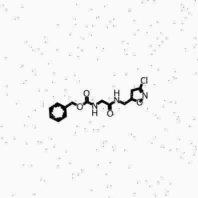 O=C(CNC(=O)OCc1ccccc1)NCC1CC(Cl)=NO1